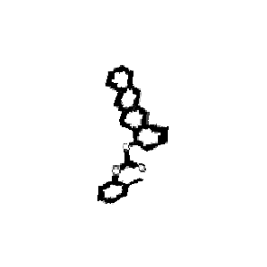 Cc1ccccc1OC(=O)Oc1cccc2cc3cc4ccccc4cc3cc12